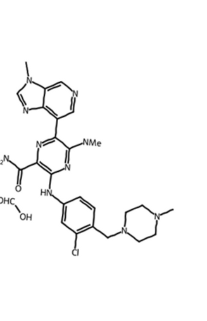 CNc1nc(Nc2ccc(CN3CCN(C)CC3)c(Cl)c2)c(C(N)=O)nc1-c1cncc2c1ncn2C.O=CO